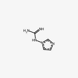 N=C(N)Nn1ccnc1